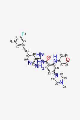 Cc1cc(F)cc(C#Cc2cnc(N)c(C(=N)NC(=O)c3ccc(N4CCN(C)CC4)cc3NC3CCOCC3)c2)c1